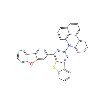 c1ccc2c(c1)-c1cccc3cccc(c13)N2c1nc(-c2ccc3c(c2)oc2ccccc23)c2sc3ccccc3c2n1